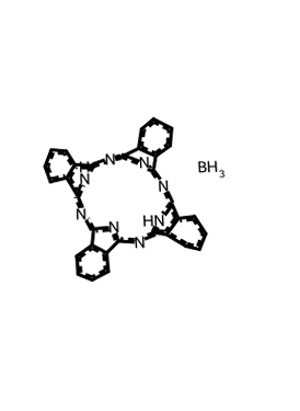 B.c1ccc2c(c1)-c1nc-2nc2[nH]c(nc3nc(nc4[nH]c(n1)c1ccccc41)-c1ccccc1-3)c1ccccc21